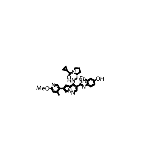 CCc1cc(O)ccc1/N=C(\N)c1cnn2cc(-c3cnc(OC)cc3C)cc2c1NC[C@@H]1CCCN1C(=O)C1CC1